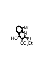 CCOC(=O)c1c(CC)nc2c(Br)cccc2c1O